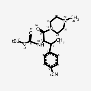 CC(c1ccc(C#N)cc1)[C@@H](NC(=O)OC(C)(C)C)C(=O)N1CCN(C)CC1